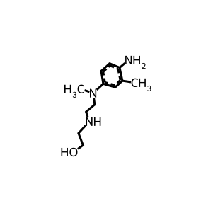 Cc1cc(N(C)CCNCCO)ccc1N